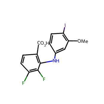 COc1cc(Nc2c(C(=O)O)ccc(F)c2F)ccc1I